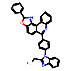 CCc1nc2ccccc2n1-c1ccc(-c2nc3ccccc3c3c4c(ccc23)OC(c2ccccc2)N4)cc1